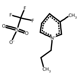 CCC[n+]1cccc(C)c1.O=S(=O)([O-])C(F)(F)F